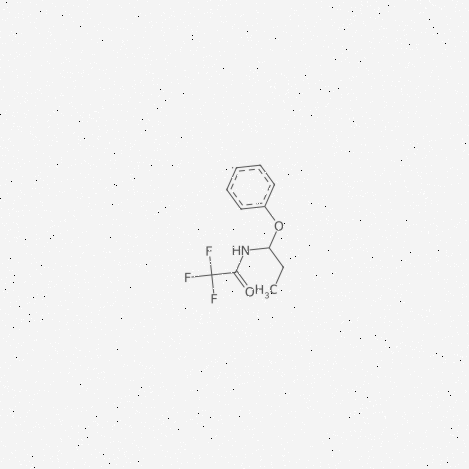 CCC(NC(=O)C(F)(F)F)Oc1cc[c]cc1